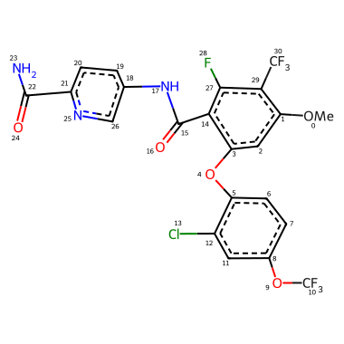 COc1cc(Oc2ccc(OC(F)(F)F)cc2Cl)c(C(=O)Nc2ccc(C(N)=O)nc2)c(F)c1C(F)(F)F